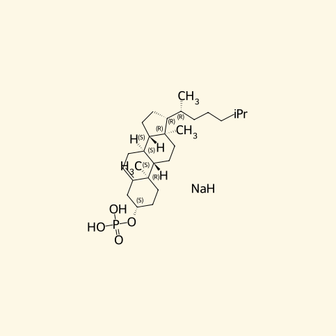 CC(C)CCC[C@@H](C)[C@H]1CC[C@H]2[C@@H]3CC=C4C[C@@H](OP(=O)(O)O)CC[C@]4(C)[C@H]3CC[C@]12C.[NaH]